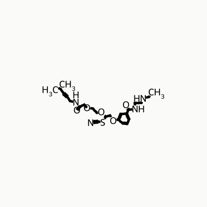 CCNCCNC(=O)c1cccc(OCC(OCCOCC(=O)NCC#CC(C)C)SC#N)c1